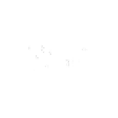 Cc1cccc(S(=O)(=O)NCCCCNc2cc(-c3ccccc3Cl)nc3c(Br)cnn23)c1